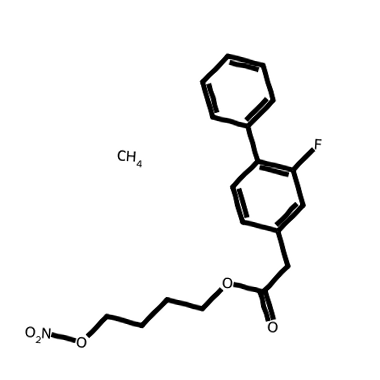 C.O=C(Cc1ccc(-c2ccccc2)c(F)c1)OCCCCO[N+](=O)[O-]